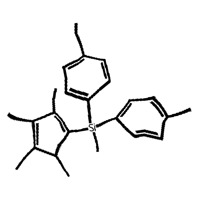 CC1=C(C)C(C)C([Si](C)(c2ccc(C)cc2)c2ccc(C)cc2)=C1C